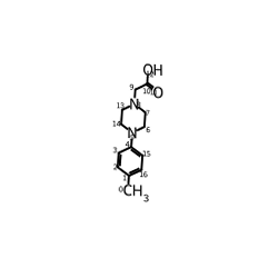 Cc1ccc(N2CCN(CC(=O)O)CC2)cc1